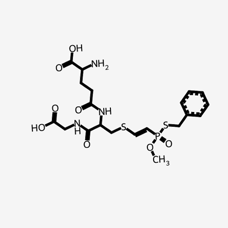 COP(=O)(/C=C/SCC(NC(=O)CCC(N)C(=O)O)C(=O)NCC(=O)O)SCc1ccccc1